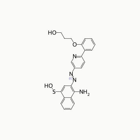 Nc1c(/N=N/c2ccc(-c3ccccc3OCCCO)nc2)cc(SO)c2ccccc12